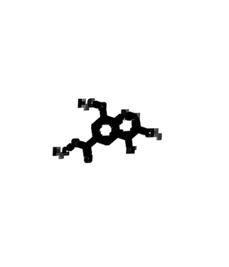 COC(=O)c1cc(OC)c2nnc(C)c(Br)c2c1